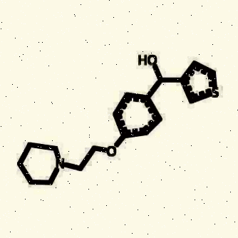 OC(c1ccc(OCCN2CCCCC2)cc1)c1ccsc1